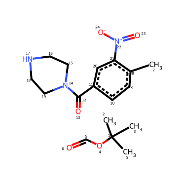 CC(C)(C)OC=O.Cc1ccc(C(=O)N2CCNCC2)cc1[N+](=O)[O-]